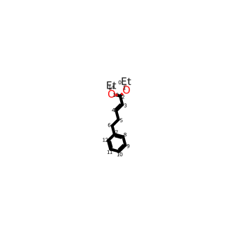 CCOC(C=CCCc1ccccc1)OCC